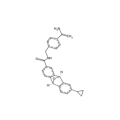 C=C(N)c1ccc(CNC(=O)c2ccc3c(c2)[C@@H]2O[C@H]3c3ccc(C4CC4)cc32)cc1